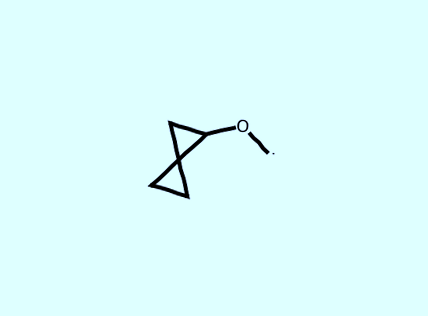 [CH2]OC1CC12CC2